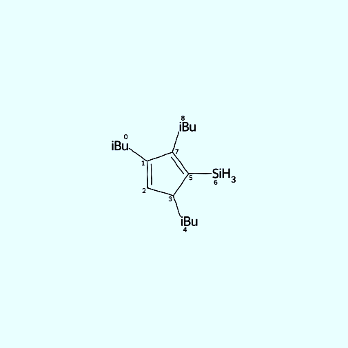 CCC(C)C1=CC(C(C)CC)C([SiH3])=C1C(C)CC